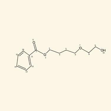 O=C(OCCCCOCCO)c1ccccc1